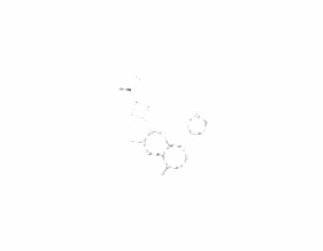 O=C(O)c1cn(-c2nccs2)c2nc(N3CC(C(=O)NO)C3)c(F)cc2c1=O